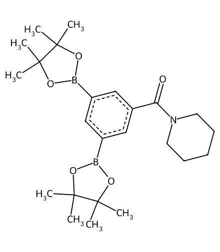 CC1(C)OB(c2cc(B3OC(C)(C)C(C)(C)O3)cc(C(=O)N3CCCCC3)c2)OC1(C)C